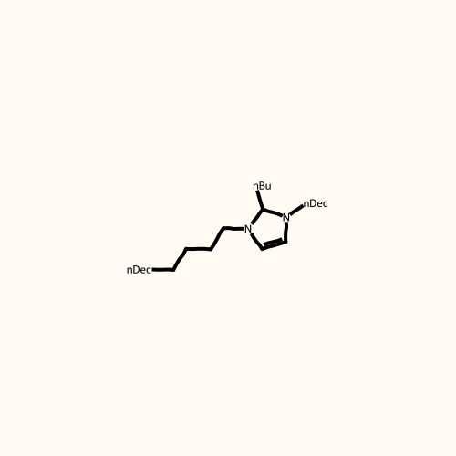 CCCCCCCCCCCCCCN1C=CN(CCCCCCCCCC)C1CCCC